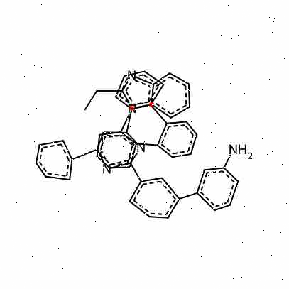 CCc1nc2ccccc2n1-c1ccccc1-c1ccccc1-c1ccccc1-c1cc(-c2ccccc2)nc(-c2cccc(-c3cccc(N)c3)c2)n1